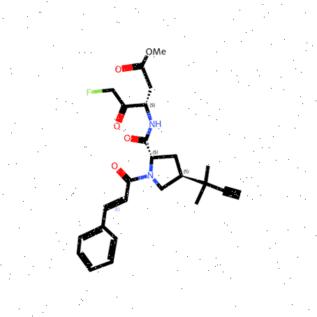 C#CC(C)(C)[C@@H]1C[C@@H](C(=O)N[C@@H](CC(=O)OC)C(=O)CF)N(C(=O)/C=C/c2ccccc2)C1